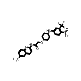 Cc1ccc2nc(NC(=O)CO[C@H]3CC[C@H](Nc4ccc([N+](=O)[O-])c(C(F)(F)F)c4)CC3)ccc2c1